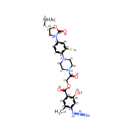 CC(=O)NC[C@H]1CN(c2ccc(N3CCN(C(=O)COC(=O)c4cc(C)c(N=[N+]=[N-])cc4O)CC3)c(F)c2)C(=O)O1